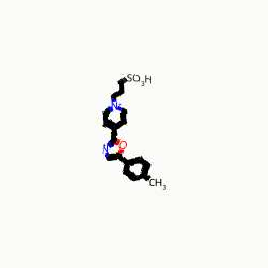 Cc1ccc(-c2cnc(-c3cc[n+](CCCS(=O)(=O)O)cc3)o2)cc1